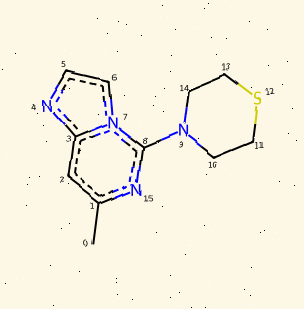 Cc1cc2nccn2c(N2CCSCC2)n1